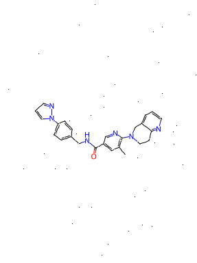 Cc1cc(C(=O)NCc2ccc(-n3cccn3)cc2)cnc1N1CCc2ncccc2C1